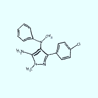 CN(c1ccccc1)c1c(-c2ccc(Cl)cc2)nn(C)c1N